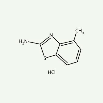 Cc1cccc2sc(N)nc12.Cl